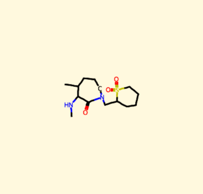 CNC1C(=O)N(CC2CCCCS2(=O)=O)CCCC1C